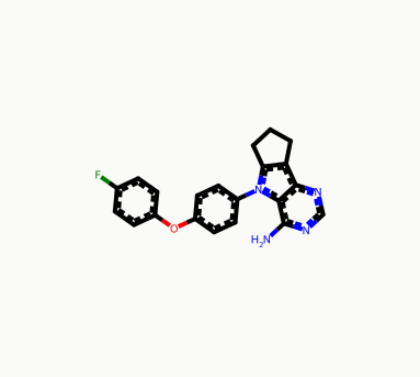 Nc1ncnc2c3c(n(-c4ccc(Oc5ccc(F)cc5)cc4)c12)CCC3